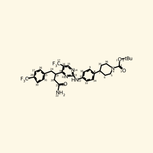 CC(C)(C)OC(=O)N1CCC(c2ccc(Nc3ncc(C(F)(F)F)c(C(CC(N)=O)Cc4ccc(C(F)(F)F)cc4)n3)cc2)CC1